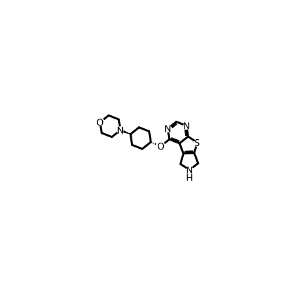 c1nc(O[C@H]2CC[C@H](N3CCOCC3)CC2)c2c3c(sc2n1)CNC3